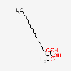 CCCCCCCCCCCCCCCCCCCCCC(C)C(C(=O)O)C(=O)O